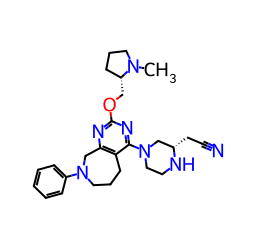 CN1CCC[C@H]1COc1nc2c(c(N3CCN[C@@H](CC#N)C3)n1)CCCN(c1ccccc1)C2